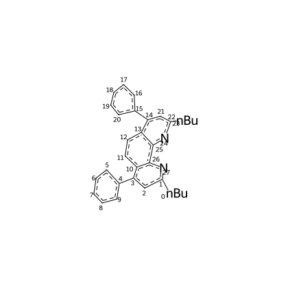 CCCCc1cc(-c2ccccc2)c2ccc3c(-c4ccccc4)cc(CCCC)nc3c2n1